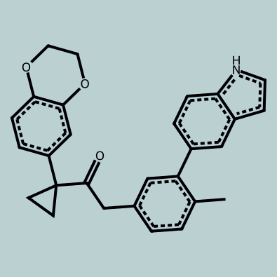 Cc1ccc(CC(=O)C2(c3ccc4c(c3)OCCO4)CC2)cc1-c1ccc2[nH]ccc2c1